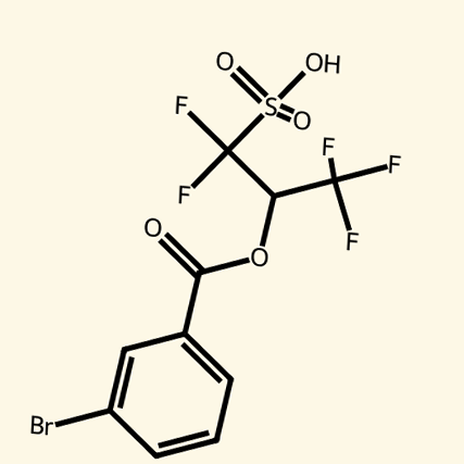 O=C(OC(C(F)(F)F)C(F)(F)S(=O)(=O)O)c1cccc(Br)c1